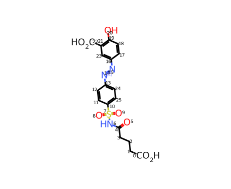 O=C(O)CCCC(=O)NS(=O)(=O)c1ccc(/N=N/c2ccc(O)c(C(=O)O)c2)cc1